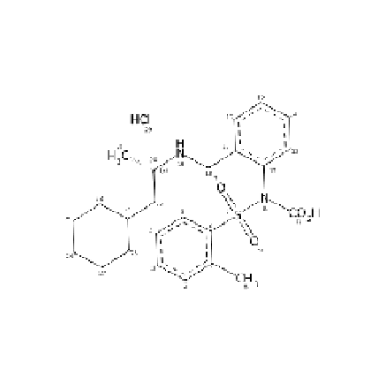 Cc1ccccc1S(=O)(=O)N(C(=O)O)c1ccccc1CN[C@@H](C)CC1CCCCC1.Cl